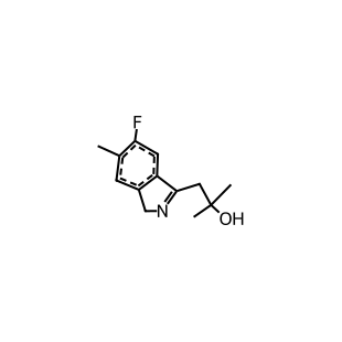 Cc1cc2c(cc1F)C(CC(C)(C)O)=NC2